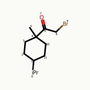 CC(C)C1CCC(C)(C(=O)CBr)CC1